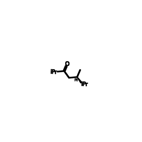 CC(C)C(=O)C[C@@H](C)C(C)C